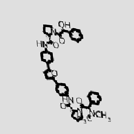 CN(C)[C@@H](C(=O)N1CCC[C@H]1C(=O)Nc1ccc(-c2ccc(-c3ccc(NC(=O)[C@@H]4CCCN4C(=O)[C@H](O)c4ccccc4)cc3)o2)cc1)c1ccccc1